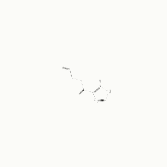 C=CCCC(=O)c1nc[nH]c1I